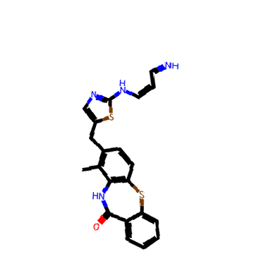 Cc1c(Cc2cnc(N/C=C\C=N)s2)ccc2c1NC(=O)c1ccccc1S2